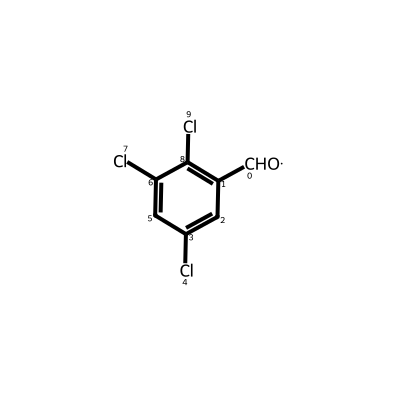 O=[C]c1cc(Cl)cc(Cl)c1Cl